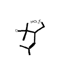 CC(C)=CC(CC(=O)O)C(C)(C)Cl